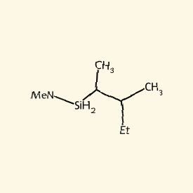 CCC(C)C(C)[SiH2]NC